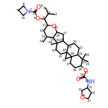 CC(C)C(OC(=O)N1CCC1)C1CC(C)C2C(CC3C4CCC5C(C)(C)C(OC(=O)NC6CCOC6)CCC56CC46CCC32C)O1